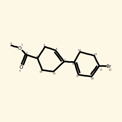 COC(=O)C1CC=C(C2=CC=C(Br)CC2)CC1